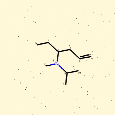 C=CCC(CC)N(C)C(C)C